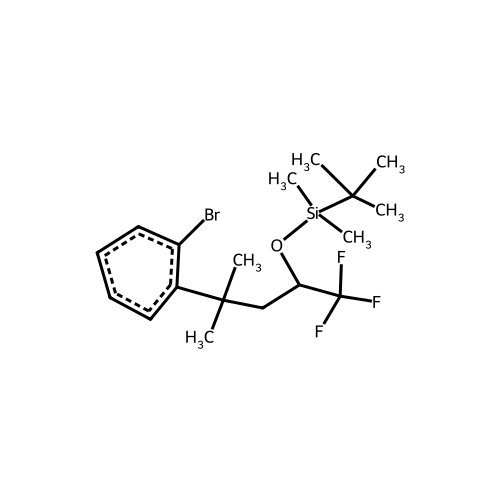 CC(C)(CC(O[Si](C)(C)C(C)(C)C)C(F)(F)F)c1ccccc1Br